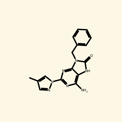 Cc1cnn(-c2nc(N)c3[nH]c(=O)n(Cc4ccccc4)c3n2)c1